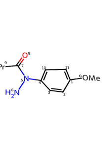 COc1ccc(N(N)C(=O)C(C)C)cc1